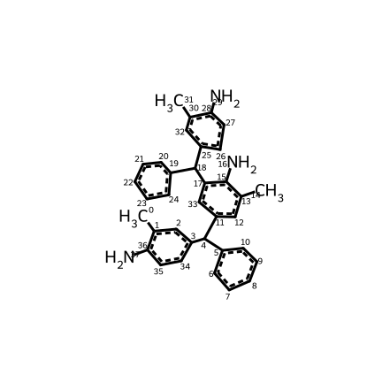 Cc1cc(C(c2ccccc2)c2cc(C)c(N)c(C(c3ccccc3)c3ccc(N)c(C)c3)c2)ccc1N